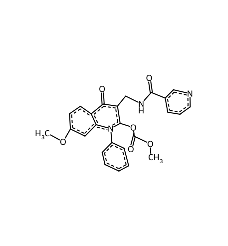 COC(=O)Oc1c(CNC(=O)c2cccnc2)c(=O)c2ccc(OC)cc2n1-c1ccccc1